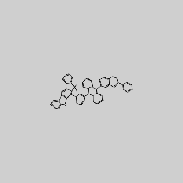 CC1(C)c2ccccc2-c2cc3c(sc4ccccc43)c(-c3cccc(-c4c5ccccc5c(-c5ccc6ccc(-c7ccccc7)cc6c5)c5ccccc45)c3)c21